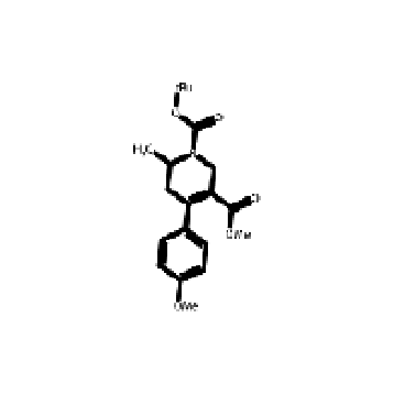 COC(=O)C1=C(c2ccc(OC)cc2)CC(C)N(C(=O)OC(C)(C)C)C1